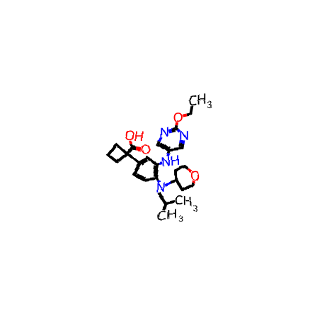 CCOc1ncc(Nc2cc(C3(C(=O)O)CCC3)ccc2N(CC(C)C)C2CCOCC2)cn1